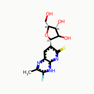 Cc1nc2cc([C@@H]3O[C@H](CO)[C@H](O)C3O)c(=S)nc-2[nH]c1F